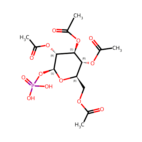 CC(=O)OC[C@H]1O[C@@H](OP(=O)(O)O)[C@H](OC(C)=O)[C@@H](OC(C)=O)[C@@H]1OC(C)=O